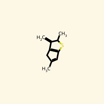 C=C1C2=C(C=C(C)C2)SC1C